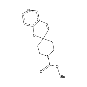 CC(C)(C)OC(=O)N1CCC2(C=Cc3cnccc3O2)CC1